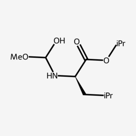 COC(O)N[C@H](CC(C)C)C(=O)OC(C)C